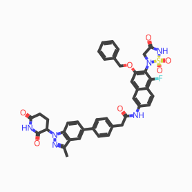 Cc1nn(C2CCC(=O)NC2=O)c2ccc(-c3ccc(CC(=O)Nc4ccc5c(F)c(N6CC(=O)NS6(=O)=O)c(OCc6ccccc6)cc5c4)cc3)cc12